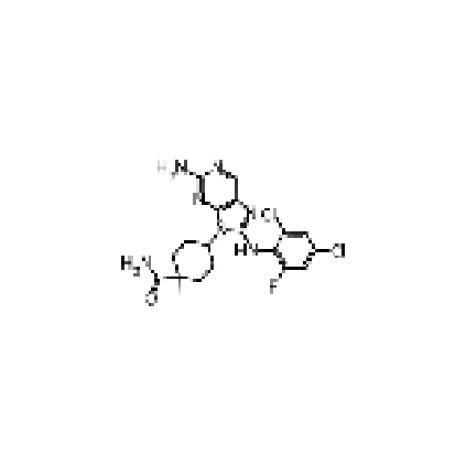 CC1(C(N)=O)CCC(n2c(Nc3c(F)cc(Cl)cc3Cl)nc3cnc(N)nc32)CC1